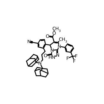 COC(=O)C1=C(C)N(c2cccc(C(F)(F)F)c2)c2n[nH]c(=O)n2C1c1ccc(C#N)cc1CCCN(C12CC3CC(CC(C3)C1)C2)C12CC3CC(CC(C3)C1)C2